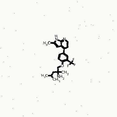 Cc1cc2c(-c3ccc(OCC(C)(N)CC(C)C)c(C(F)(F)F)c3)ccnc2[nH]1